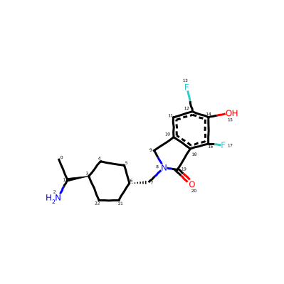 CC(N)[C@H]1CC[C@H](CN2Cc3cc(F)c(O)c(F)c3C2=O)CC1